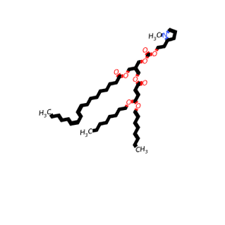 CCCCC/C=C\C/C=C\CCCCCCCC(=O)OCC(COC(=O)CCC(OCCCCCCCC)OCCCCCCCC)COC(=O)OCCC1CCCN1C